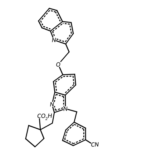 N#Cc1cccc(Cn2c(CC3(C(=O)O)CCCC3)nc3cc(OCc4ccc5ccccc5n4)ccc32)c1